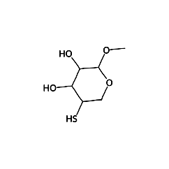 COC1OCC(S)C(O)C1O